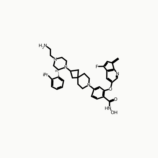 C=C1C=C(F)c2cc(Oc3cc(N4CCC5(CC4)CC(N4CCN(CCN)C[C@H]4c4ccccc4C(C)C)C5)ccc3C(=O)NO)cnc21